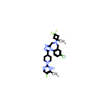 CC1=C(F)C=NC(N2CCC(c3nnc4n3-c3ccc(Cl)cc3CN(C3(C)CC(F)(F)C3)C4)CC2)N1